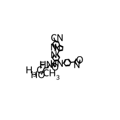 CC(C)(O)[C@H](F)CNC(=O)c1cnc(-c2ccc3cc(C#N)cnn23)cc1Nc1ccc(-c2cocn2)cc1